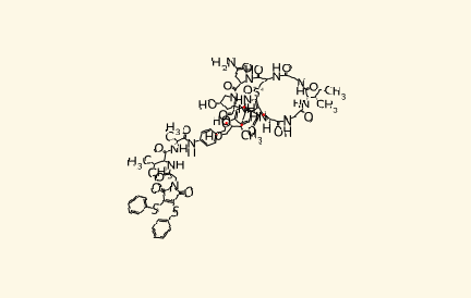 CC[C@H](C)[C@@H]1NC(=O)CNC(=O)[C@H]2Cc3c([nH]c4cc(OCc5ccc(NC(=O)[C@H](C)NC(=O)[C@@H](NC(=O)CN6C(=O)C(Sc7ccccc7)=C(Sc7ccccc7)C6=O)C(C)C)cc5)ccc34)[S+]([O-])CC(NC(=O)CNC1=O)C(=O)NC(CC(N)=O)C(=O)N1C[C@H](O)CC1(C=O)N[C@@H]([C@@H](C)[C@@H](O)CO)C(=O)N2